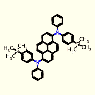 C[Si](C)(C)c1ccc(N(C2=CC=C3C=CC4=C5C(=CC=C2C35)CC=C4N(c2ccccc2)c2ccc([Si](C)(C)C)cc2)c2ccccc2)cc1